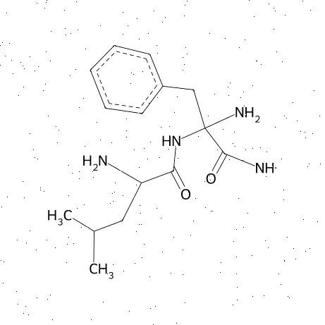 CC(C)CC(N)C(=O)NC(N)(Cc1ccccc1)C([NH])=O